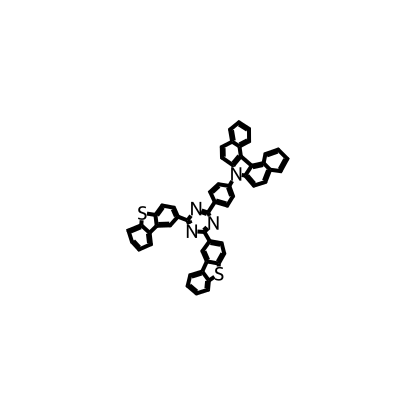 c1ccc2c(c1)ccc1c2c2c3ccccc3ccc2n1-c1ccc(-c2nc(-c3ccc4sc5ccccc5c4c3)nc(-c3ccc4sc5ccccc5c4c3)n2)cc1